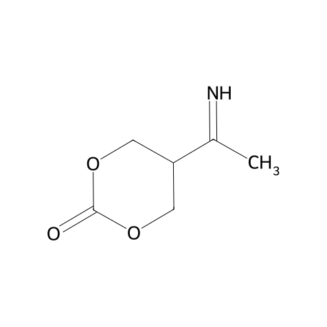 CC(=N)C1COC(=O)OC1